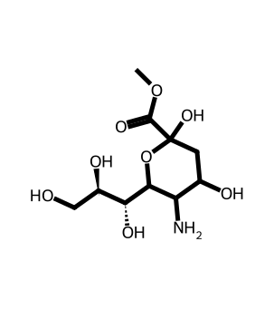 COC(=O)C1(O)CC(O)C(N)C([C@H](O)[C@H](O)CO)O1